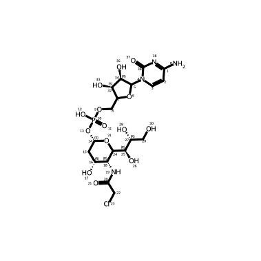 Nc1ccn(C2OC(COP(=O)(O)O[C@H]3C[C@@H](O)[C@@H](NC(=O)CCl)C([C@H](O)[C@H](O)CO)O3)[C@@H](O)[C@H]2O)c(=O)n1